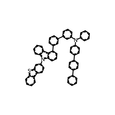 c1ccc(-c2ccc(-c3ccc(N(c4ccccc4)c4cccc(-c5cccc(-c6cccc7c6c6ccccc6n7-c6ccc7c(c6)sc6ccccc67)c5)c4)cc3)cc2)cc1